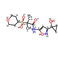 CC(C)(C(=O)Nc1cc(C2(O)CC2)no1)S(=O)(=O)C1CCOCC1